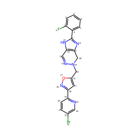 Fc1ccccc1-c1nc2c([nH]1)C=NN(Cc1cc(-c3ccc(Br)cn3)no1)C2